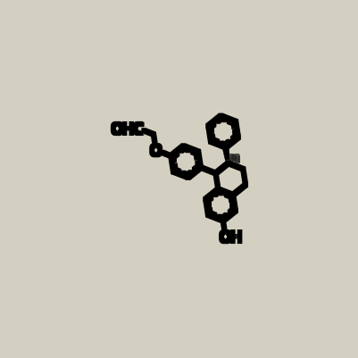 O=CCOc1ccc(C2c3ccc(O)cc3CC[C@@H]2c2ccccc2)cc1